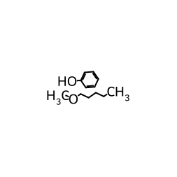 CCCCCOC.Oc1ccccc1